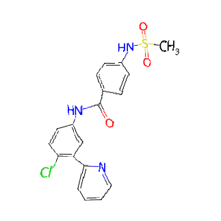 CS(=O)(=O)Nc1ccc(C(=O)Nc2ccc(Cl)c(-c3ccccn3)c2)cc1